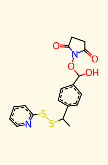 CC(SSc1ccccn1)c1ccc(C(O)ON2C(=O)CCC2=O)cc1